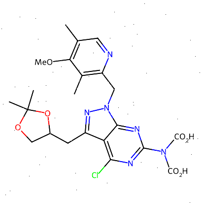 COc1c(C)cnc(Cn2nc(CC3COC(C)(C)O3)c3c(Cl)nc(N(C(=O)O)C(=O)O)nc32)c1C